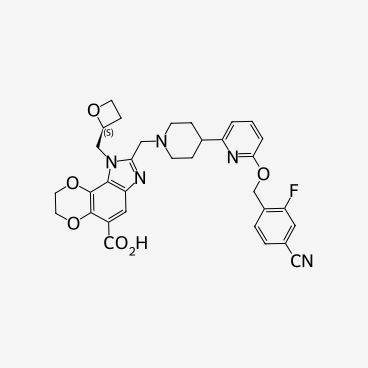 N#Cc1ccc(COc2cccc(C3CCN(Cc4nc5cc(C(=O)O)c6c(c5n4C[C@@H]4CCO4)OCCO6)CC3)n2)c(F)c1